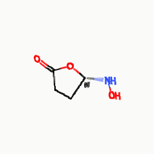 O=C1CC[C@@H](NO)O1